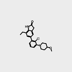 CCc1cc(-c2cccc(N3CCC(OC)CC3)c2Cl)cc2c1NC(=O)C2